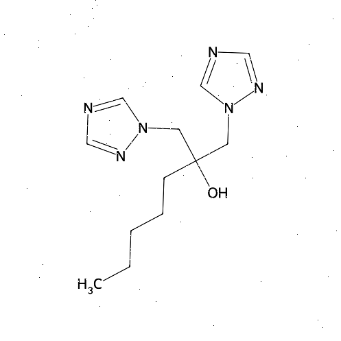 CCCCCC(O)(Cn1cncn1)Cn1cncn1